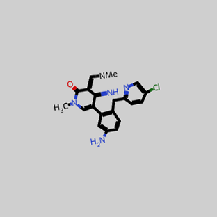 CN/C=C1\C(=N)C(c2cc(N)ccc2Cc2ccc(Cl)cn2)=CN(C)C1=O